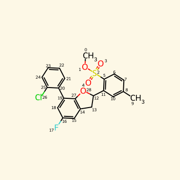 COS(=O)(=O)c1ccc(C)cc1C1Cc2cc(F)cc(-c3ccccc3Cl)c2O1